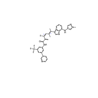 C=C(C(=O)Nc1cc(-c2cccnc2)cc(C(F)(F)F)c1)/C(F)=C\C(C)=C(/C)c1cnc2c(Nc3cnn(C)c3)cccn12